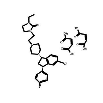 CCN1CCN(CCN2CCN([C@H]3C[C@H](c4ccc(F)cc4)c4cc(Cl)ccc43)CC2)C1=O.O=C(O)/C=C\C(=O)O.O=C(O)/C=C\C(=O)O